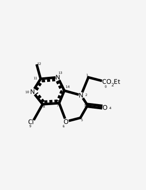 CCOC(=O)CN1C(=O)COc2c(Cl)nc(C)nc21